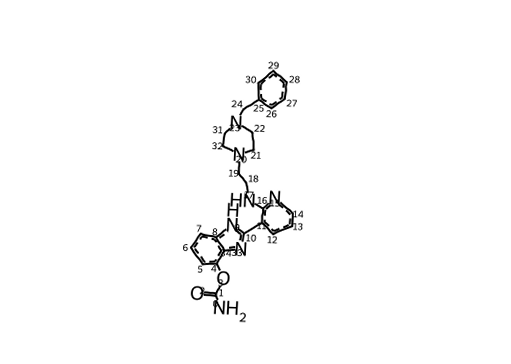 NC(=O)Oc1cccc2[nH]c(-c3cccnc3NCCN3CCN(Cc4ccccc4)CC3)nc12